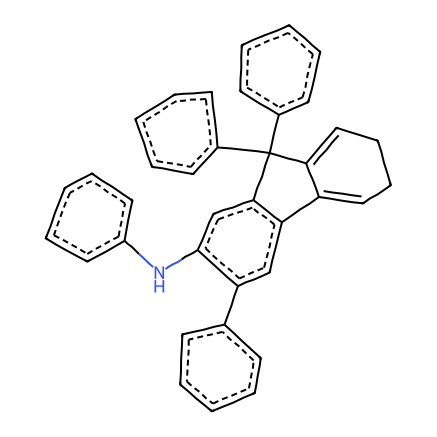 C1=C2C(=CCC1)C(c1ccccc1)(c1ccccc1)c1cc(Nc3ccccc3)c(-c3ccccc3)cc12